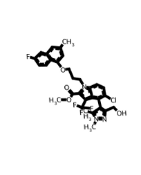 COC(=O)c1c(C(F)(F)F)c2c(-c3c(CO)nn(C)c3C)c(Cl)ccc2n1CCCOc1cc(C)cc2cc(F)ccc12